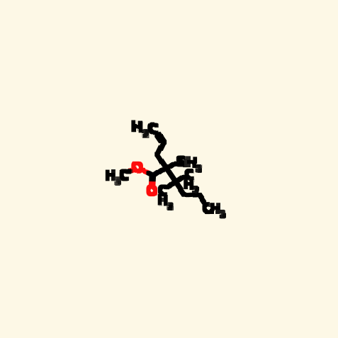 C=CCC([SiH3])(C(=O)OC)C(C)(C)CCC